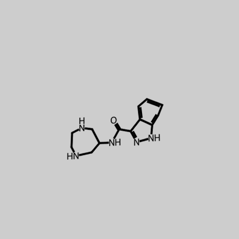 O=C(NC1CNCCNC1)c1n[nH]c2ccccc12